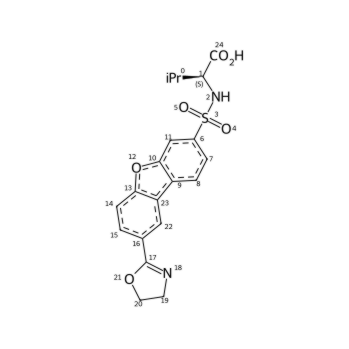 CC(C)[C@H](NS(=O)(=O)c1ccc2c(c1)oc1ccc(C3=NCCO3)cc12)C(=O)O